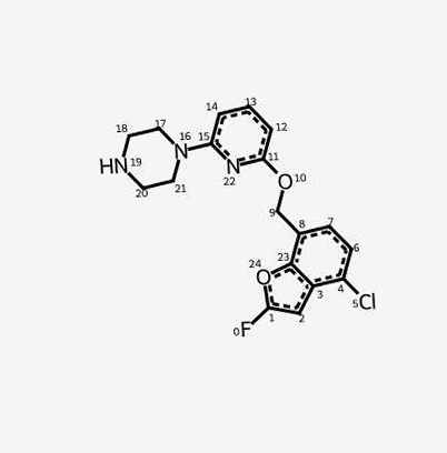 Fc1cc2c(Cl)ccc(COc3cccc(N4CCNCC4)n3)c2o1